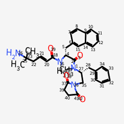 CN(C(=O)[C@@H](Cc1ccc2ccccc2c1)N(C)C(=O)C=CCC(C)(C)N)[C@H](Cc1ccccc1)CN1C(=O)CCC1=O